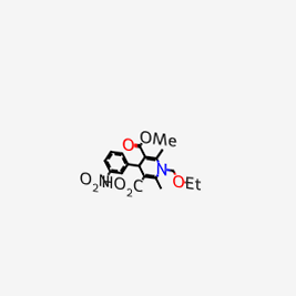 CCOCN1C(C)=C(C(=O)O)C(c2cccc([N+](=O)[O-])c2)C(C(=O)OC)=C1C